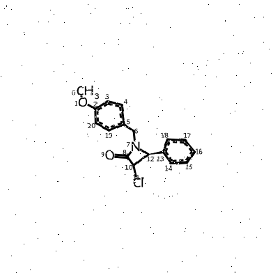 COc1ccc(CN2C(=O)C(Cl)[C@@H]2c2ccccc2)cc1